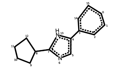 c1ccc(-c2cnc(C3CCCC3)[nH]2)cc1